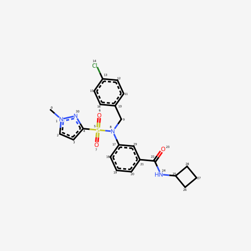 Cn1ccc(S(=O)(=O)N(Cc2ccc(Cl)cc2)c2cccc(C(=O)NC3CCC3)c2)n1